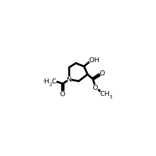 [CH2]C(=O)N1CCC(O)C(C(=O)OC)C1